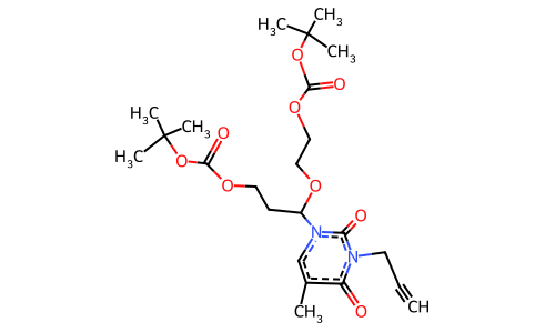 C#CCn1c(=O)c(C)cn(C(CCOC(=O)OC(C)(C)C)OCCOC(=O)OC(C)(C)C)c1=O